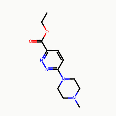 CCOC(=O)c1ccc(N2CCN(C)CC2)nn1